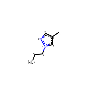 Cc1cnn(CCC#N)c1